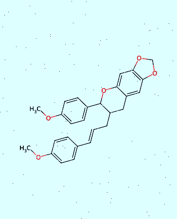 COc1ccc(/C=C/CC2Cc3cc4c(cc3OC2c2ccc(OC)cc2)OCO4)cc1